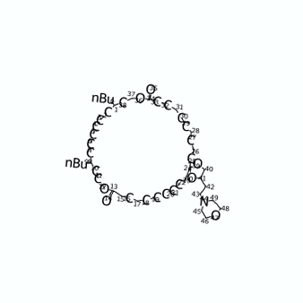 CCCCC1CCCCCCC(CCCC)CCOC(=O)CCCCCCCCCC2(CCCCCCCCCC(=O)OCC1)OCC(CCN1CCOCC1)O2